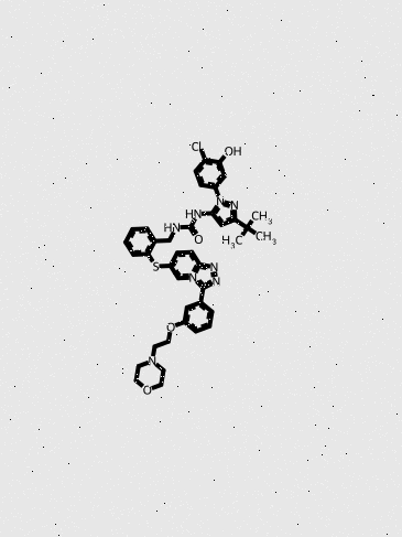 CC(C)(C)c1cc(NC(=O)NCc2ccccc2Sc2ccc3nnc(-c4cccc(OCCN5CCOCC5)c4)n3c2)n(-c2ccc(Cl)c(O)c2)n1